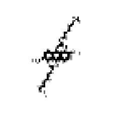 CCCCCCOC(=O)Oc1c2ccc(C)cc2c(OC(=O)OCCCCCC)c2ccc(C)cc12